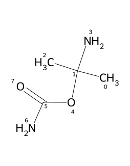 CC(C)(N)OC(N)=O